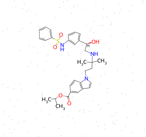 CC(C)OC(=O)c1ccc2c(ccn2CCC(C)(C)NC[C@H](O)c2cccc(NS(=O)(=O)c3ccccc3)c2)c1